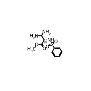 COC(=O)[C@@H](NS(=O)(=O)c1ccccc1)C(N)N